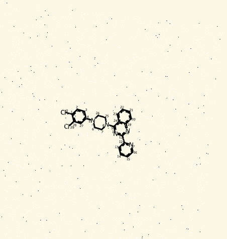 Clc1ccc(N2CCN(c3nc(-c4ccccn4)nc4ccccc34)CC2)cc1Cl